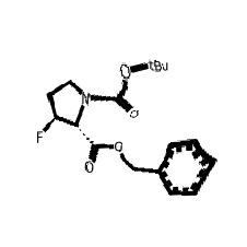 CC(C)(C)OC(=O)N1CC[C@H](F)[C@H]1C(=O)OCc1ccccc1